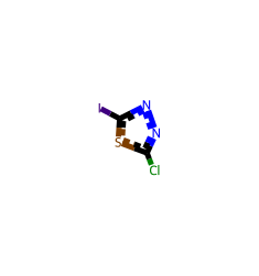 Clc1nnc(I)s1